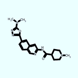 CN1CCC(C(=O)Nc2cc3cc(-c4nnc(N(C)C)o4)ccc3cn2)CC1